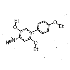 CCOc1ccc(-c2cc(OCC)c([N+]#N)cc2OCC)cc1